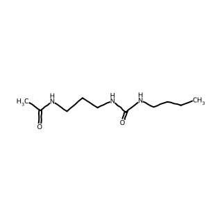 CCCCNC(=O)NCCCNC(C)=O